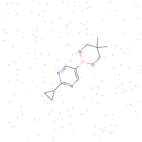 CC1(C)COB(c2cnc(C3CC3)nc2)OC1